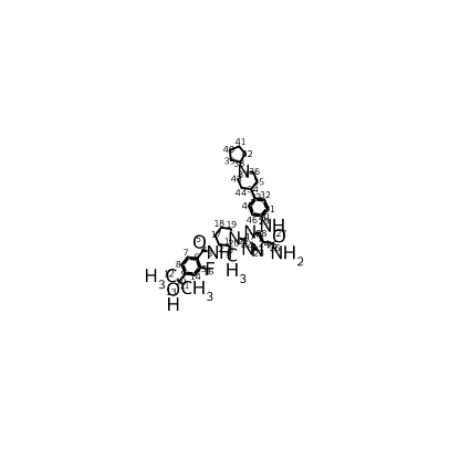 C[C@@H]1[C@H](NC(=O)c2ccc(C(C)(C)O)cc2F)CCCN1c1nnc(C(N)=O)c(Nc2ccc(C3CCN(C4CCCC4)CC3)cc2)n1